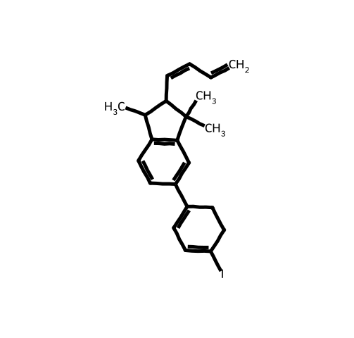 C=C/C=C\C1C(C)c2ccc(C3=CC=C(I)CC3)cc2C1(C)C